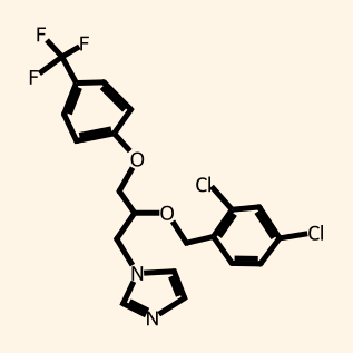 FC(F)(F)c1ccc(OCC(Cn2ccnc2)OCc2ccc(Cl)cc2Cl)cc1